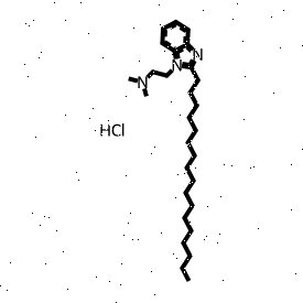 CCCCCCCCCCCCCCCCCc1nc2ccccc2n1CCN(C)C.Cl